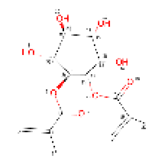 C=C(C)C(=O)O[C@H]1[C@H](O)[C@@H](O)[C@H](O)[C@H](O)[C@@H]1OC(=O)C(=C)C